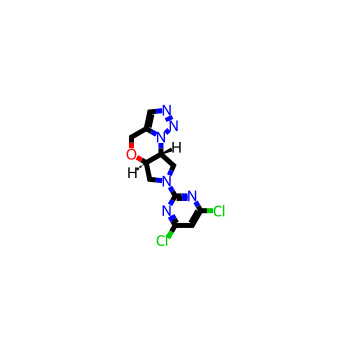 Clc1cc(Cl)nc(N2C[C@@H]3[C@@H](C2)OCc2cnnn23)n1